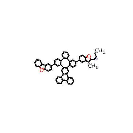 C=C/C=C\c1oc2ccc(-c3ccc4c(c3)-c3ccccc3-c3ccc(-c5ccc6oc7ccccc7c6c5)cc3-c3cc5c6ccccc6c6ccccc6c5cc3-4)cc2c1C